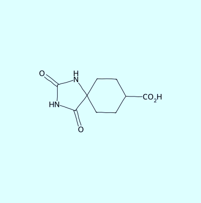 O=C1NC(=O)C2(CCC(C(=O)O)CC2)N1